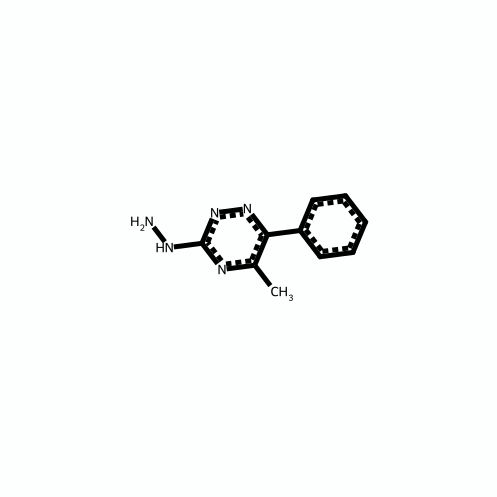 Cc1nc(NN)nnc1-c1ccccc1